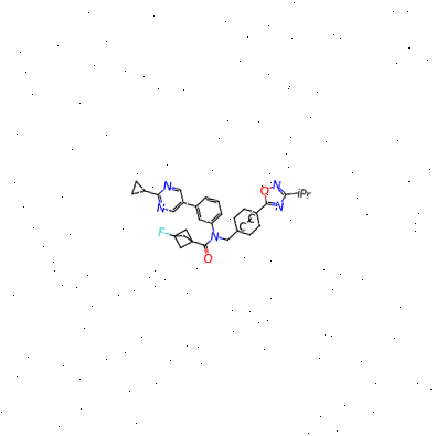 CC(C)c1noc(C23CCC(CN(C(=O)C45CC(F)(C4)C5)c4cccc(-c5cnc(C6CC6)nc5)c4)(CC2)CC3)n1